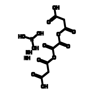 O=C(O)CC(=O)OC(=O)C(=O)OC(=O)CC(=O)O.OB(O)O.[KH].[KH]